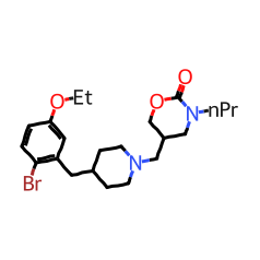 CCCN1CC(CN2CCC(Cc3cc(OCC)ccc3Br)CC2)COC1=O